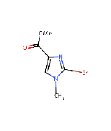 COC(=O)c1cn(C)c(Br)n1